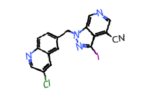 N#Cc1cncc2c1c(I)nn2Cc1ccc2ncc(Cl)cc2c1